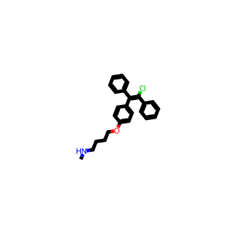 CNCCCCOc1ccc(/C(=C(/Cl)c2ccccc2)c2ccccc2)cc1